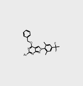 CC(=O)c1nc(OCc2ccccc2)c2cn(-c3c(C)cc(C(C)(F)F)cc3C)nc2n1